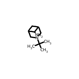 CC(C)(C)N1CC2CC(C1)C2N